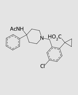 CC(=O)NC1(c2ccccc2)CCN(Cc2cc(Cl)ccc2C2(C(=O)O)CC2)CC1